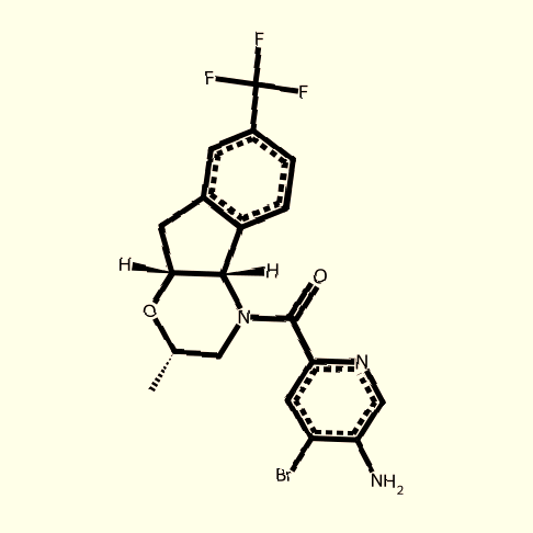 C[C@H]1CN(C(=O)c2cc(Br)c(N)cn2)[C@H]2c3ccc(C(F)(F)F)cc3C[C@H]2O1